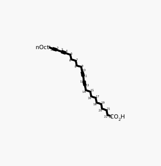 CCCCCCCCC#CC#CCCCCCC#CC#CCCCCCCCCCC(=O)O